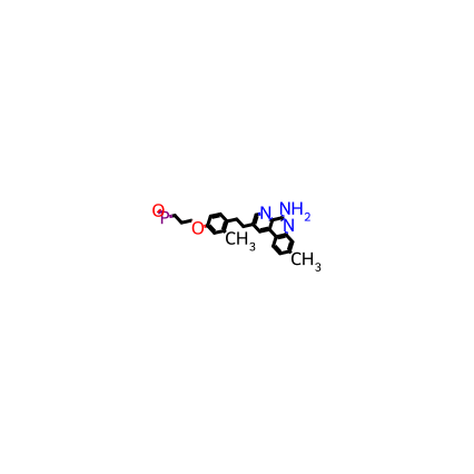 Cc1ccc2c(c1)nc(N)c1ncc(CCc3ccc(OCCCP=O)cc3C)cc12